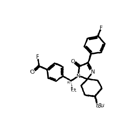 CC[C@H](c1ccc(C(=O)F)cc1)N1C(=O)C(c2ccc(F)cc2)=NC12CCC(C(C)(C)C)CC2